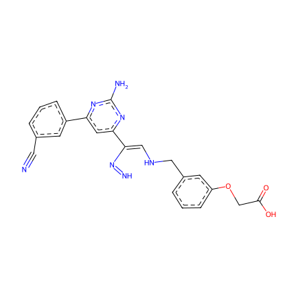 N#Cc1cccc(-c2cc(/C(=C/NCc3cccc(OCC(=O)O)c3)N=N)nc(N)n2)c1